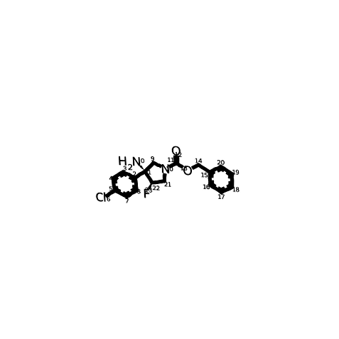 N[C@]1(c2ccc(Cl)cc2)CN(C(=O)OCc2ccccc2)C[C@H]1F